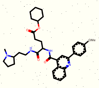 COc1ccc(-c2cc(C(=O)NC(CCC(=O)OC3CCCCC3)C(=O)NCCC3CCCN3C)c3ccccc3n2)cc1